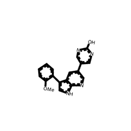 COc1ccccc1-c1c[nH]c2ncc(-c3cnc(O)nc3)cc12